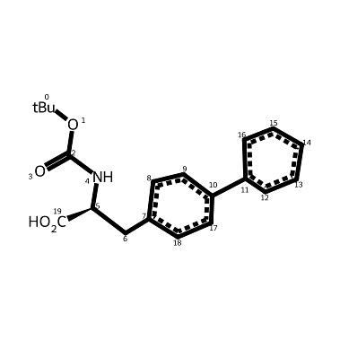 CC(C)(C)OC(=O)N[C@@H](Cc1ccc(-c2ccccc2)cc1)C(=O)O